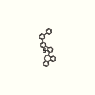 c1ccc(-c2cccc(-c3ccc4sc5c(C6CCc7ccccc7-c7ccccc76)cccc5c4c3)c2)cc1